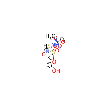 CON=C(C(=O)OC(=O)C1(Sc2ccc3c(c2)oc2c(CO)cccc23)CN2C(=O)C[C@H]2SC1N)c1ccco1